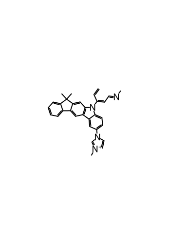 C=C/C(=C\C=N\C)n1c2ccc(-n3cc[n+](C)c3)cc2c2cc3c(cc21)C(C)(C)c1ccccc1-3